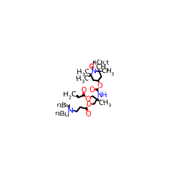 C=CC(=O)OCC(C)(COC(=O)CCN(CCCC)CCCC)NC(=O)OC1CC(C)(C)N(OCCCCCCCC)C(C)(C)C1